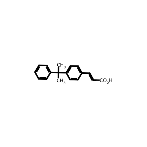 CC(C)(c1ccccc1)c1ccc(C=CC(=O)O)cc1